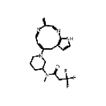 C=C1/C=N\c2[nH]ccc2C/C(N2CCCC(N(C)C(=O)CC(F)(F)F)C2)=C\C=N/1